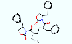 CC[C@@H](CC[C@H](Cc1ccccc1)C(=O)N1C(=O)OCC1Cc1ccccc1)C(=O)N1C(=O)OCC1Cc1ccccc1